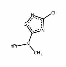 [CH2]CCN(C)c1nc(Cl)ns1